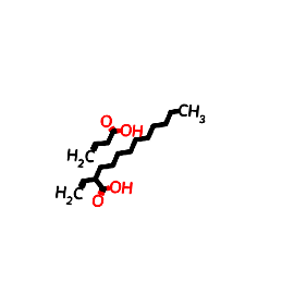 C=CC(CCCCCCCCCC)C(=O)O.C=CCC(=O)O